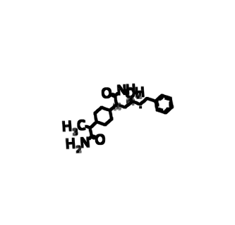 CC(C(N)=O)C1CCC([C@H](C[C@@H](O)[CH]Cc2ccccc2)C(N)=O)CC1